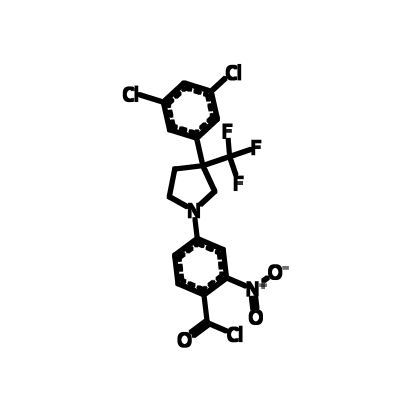 O=C(Cl)c1ccc(N2CCC(c3cc(Cl)cc(Cl)c3)(C(F)(F)F)C2)cc1[N+](=O)[O-]